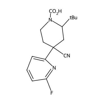 CC(C)(C)C1CC(C#N)(c2cccc(F)n2)CCN1C(=O)O